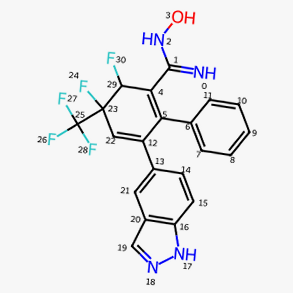 N=C(NO)C1=C(c2ccccc2)C(c2ccc3[nH]ncc3c2)=CC(F)(C(F)(F)F)C1F